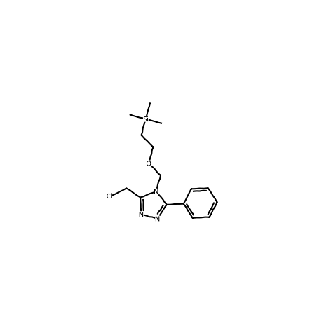 C[Si](C)(C)CCOCn1c(CCl)nnc1-c1ccccc1